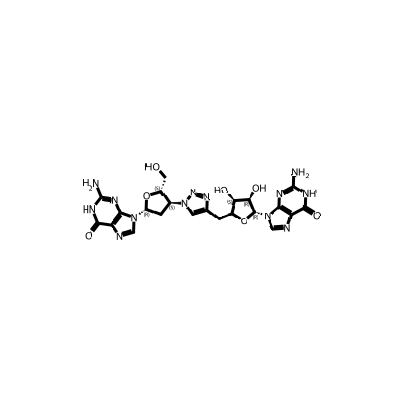 Nc1nc2c(ncn2[C@@H]2OC(Cc3cn([C@H]4C[C@H](n5cnc6c(=O)[nH]c(N)nc65)O[C@@H]4CO)nn3)[C@@H](O)[C@H]2O)c(=O)[nH]1